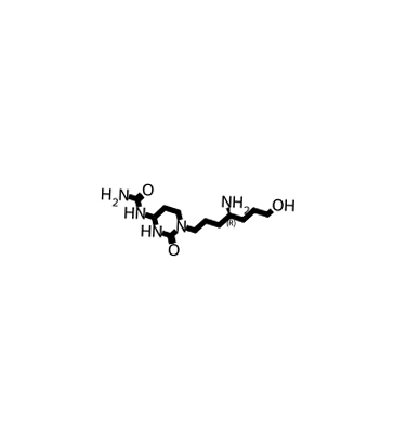 NC(=O)NC1CCN(CCC[C@@H](N)CCCO)C(=O)N1